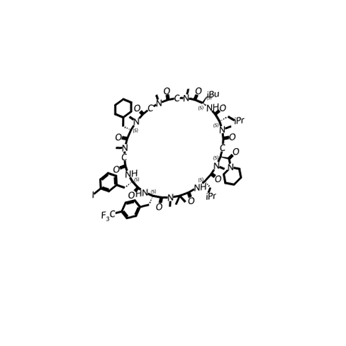 CC[C@H](C)[C@@H]1NC(=O)[C@H](CC(C)C)N(C)C(=O)C[C@@H](C(=O)N2CCCCC2)N(C)C(=O)[C@H](CC(C)C)NC(=O)C(C)(C)N(C)C(=O)[C@H](Cc2ccc(C(F)(F)F)cc2)NC(=O)[C@H](Cc2cccc(I)c2)NC(=O)CN(C)C(=O)[C@H](CC2CCCCC2)N(C)C(=O)CN(C)C(=O)CN(C)C1=O